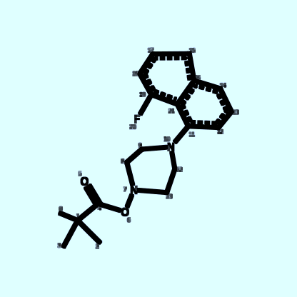 CC(C)(C)C(=O)ON1CCN(c2cccc3cccc(F)c23)CC1